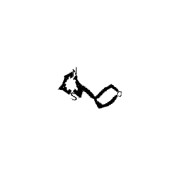 c1csc(C2COC2)n1